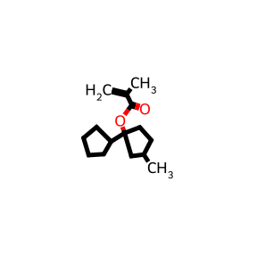 C=C(C)C(=O)OC1(C2CCCC2)CCC(C)C1